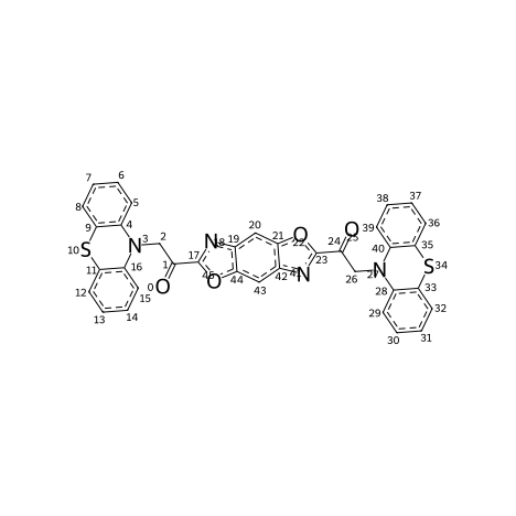 O=C(CN1c2ccccc2Sc2ccccc21)c1nc2cc3oc(C(=O)CN4c5ccccc5Sc5ccccc54)nc3cc2o1